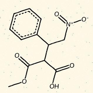 COC(=O)C(C(=O)O)C(C[N+](=O)[O-])c1ccccc1